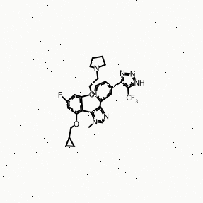 Cn1cnc(-c2cc(-c3nn[nH]c3C(F)(F)F)ccn2)c1-c1c(OCCN2CCCC2)cc(F)cc1OCC1CC1